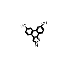 Oc1ccc2c(c1)c1cc(O)ccc1c1n[nH]cc21